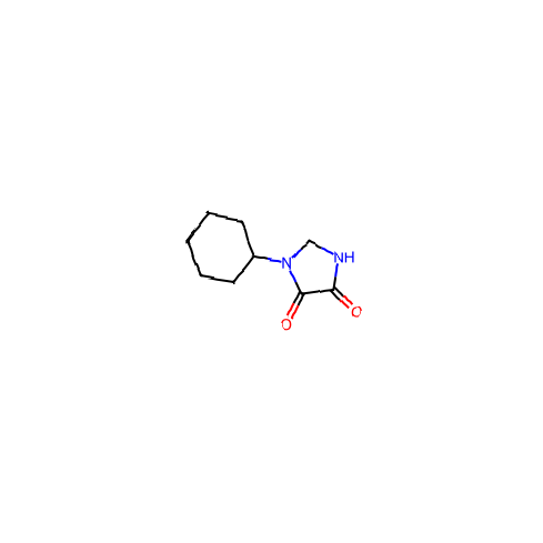 O=C1NCN(C2CCCCC2)C1=O